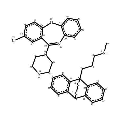 CNCCCC12CCC(c3ccccc31)c1ccccc12.Clc1ccc2c(c1)C(N1CCNCC1)=Nc1ccccc1O2